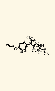 C=CCOc1ccc(-c2c(Cl)sc(NC(=O)CC#N)c2C(=O)OCC)cc1